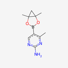 Cc1nc(N)ncc1B1OC2(C)CC2(C)O1